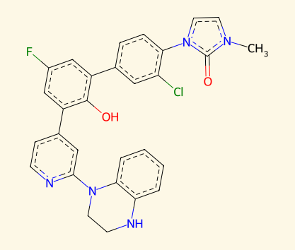 Cn1ccn(-c2ccc(-c3cc(F)cc(-c4ccnc(N5CCNc6ccccc65)c4)c3O)cc2Cl)c1=O